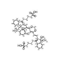 Cc1ccc(OC2=C(/C=C/C3=[N+](CCCCS(=O)(=O)O)c4ccccc4C3(C)C)OCO/C2=C\C=C2\N(CCCCS(=O)(=O)O)c3ccccc3C2(C)C)cc1